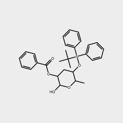 CC1OC(O)C(OC(=O)c2ccccc2)CC1O[Si](c1ccccc1)(c1ccccc1)C(C)(C)C